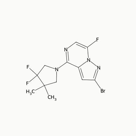 CC1(C)CN(c2ncc(F)n3nc(Br)cc23)CC1(F)F